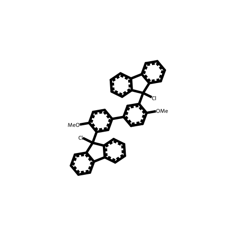 COc1ccc(-c2ccc(OC)c(C3(Cl)c4ccccc4-c4ccccc43)c2)cc1C1(Cl)c2ccccc2-c2ccccc21